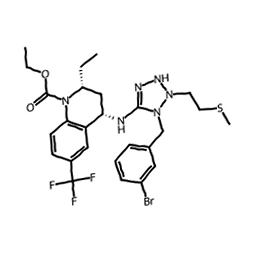 CCOC(=O)N1c2ccc(C(F)(F)F)cc2[C@@H](NC2=NNN(CCSC)N2Cc2cccc(Br)c2)C[C@H]1CC